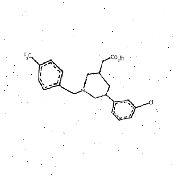 CCOC(=O)CC1CC(c2cccc(Cl)c2)CN(Cc2ccc(C(F)(F)F)cc2)C1